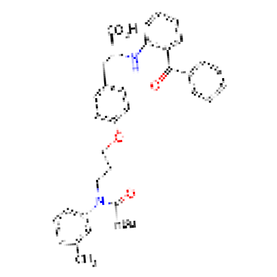 CCCCC(=O)N(CCCOc1ccc(C[C@H](Nc2ccccc2C(=O)c2ccccc2)C(=O)O)cc1)c1cccc(C)c1